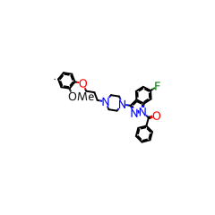 COc1c[c]ccc1OCCCN1CCN(c2nn(C(=O)c3ccccc3)c3cc(F)ccc23)CC1